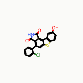 O=C1NC(=O)c2c1c(-c1ccccc1Cl)cc1sc3ccc(O)cc3c21